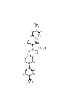 O=C(O)NC(Cc1ccc(-c2ccc(C(F)(F)F)cc2)cc1)C(=O)Nc1ccc(C(F)(F)F)cc1